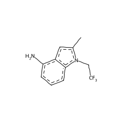 Cc1cc2c(N)cccc2n1CC(F)(F)F